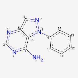 Nc1ncnc2cnn(-c3ccccc3)c12